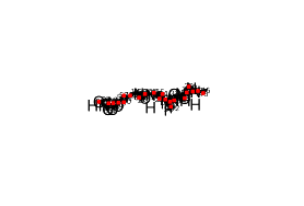 O=C1CCC(N2C[C@H](c3ccc(C#CCN4CCO[C@@H](CNCc5ccc(-n6cc(NC(=O)c7coc(-c8ccnc(NCC9CC9)c8)n7)c(C(F)F)n6)cc5)C4)cc3)OC2=O)C(=O)N1